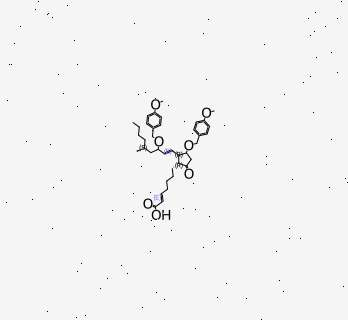 CCCC[C@H](C)CC(/C=C/[C@H]1C(OCc2ccc(OC)cc2)CC(=O)[C@@H]1CCCC/C=C/C(=O)O)OCc1ccc(OC)cc1